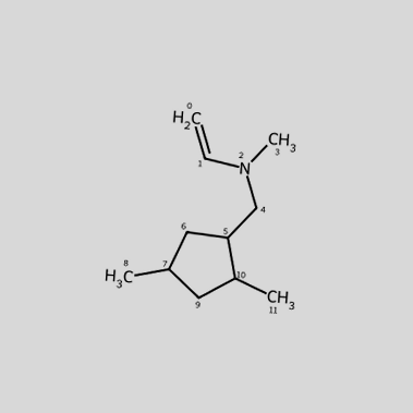 C=CN(C)CC1CC(C)CC1C